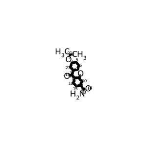 CC(C)Oc1ccc2oc3cc(C(N)=O)ccc3c(=O)c2c1